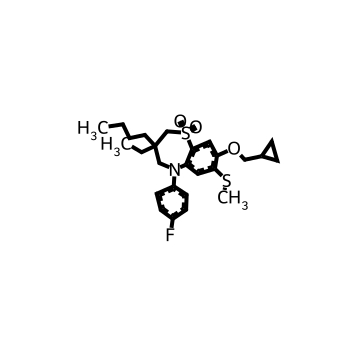 CCCCC1(CC)CN(c2ccc(F)cc2)c2cc(SC)c(OCC3CC3)cc2S(=O)(=O)C1